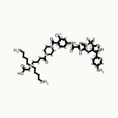 NCCCC[N+](CCCCN)(CCCC(=O)N1CCN(C(=O)c2ccc(NC(=O)c3ncc(Cc4c(C(F)(F)F)n[nH]c4-c4ccc(N)cn4)[nH]3)cc2Cl)CC1)CC(=O)O